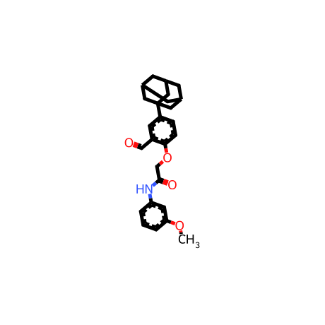 COc1cccc(NC(=O)COc2ccc(C34CC5CC(CC(C5)C3)C4)cc2C=O)c1